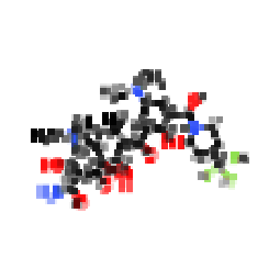 CN(C)c1cc(C(=O)N2CCC(C(F)(F)F)CC2)c(O)c2c1C[C@H]1C[C@H]3[C@H](N(C)C)C(O)=C(C(N)=O)C(=O)[C@@]3(O)C(O)=C1C2=O